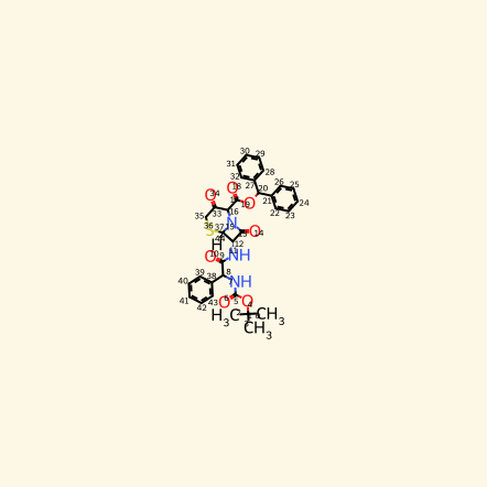 CC(C)(C)OC(=O)NC(C(=O)N[C@H]1C(=O)N2C(C(=O)OC(c3ccccc3)c3ccccc3)C(=O)CS[C@@H]12)c1ccccc1